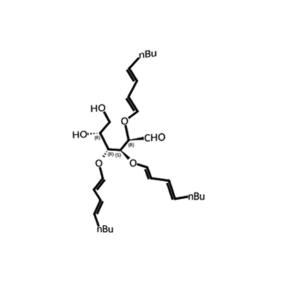 CCCCC=CC=CO[C@@H]([C@H](OC=CC=CCCCC)[C@H](C=O)OC=CC=CCCCC)[C@H](O)CO